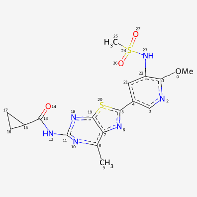 COc1ncc(-c2nc3c(C)nc(NC(=O)C4CC4)nc3s2)cc1NS(C)(=O)=O